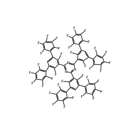 Fc1c(F)c(F)c(-c2cc(-c3c(F)c(F)c(F)c(F)c3F)c(F)c(-c3nc(-c4c(F)c(-c5c(F)c(F)c(F)c(F)c5F)cc(-c5c(F)c(F)c(F)c(F)c5F)c4F)nc(-c4c(F)c(-c5c(F)c(F)c(F)c(F)c5F)cc(-c5c(F)c(F)c(F)c(F)c5F)c4F)n3)c2F)c(F)c1F